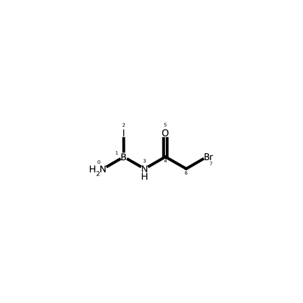 NB(I)NC(=O)CBr